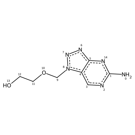 Nc1ncc2c(nnn2COCCO)n1